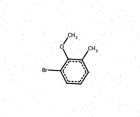 COc1c(C)[c]ccc1Br